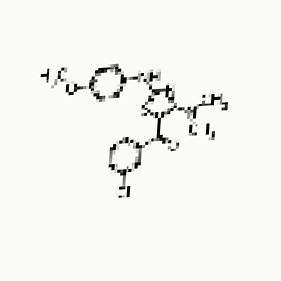 COc1ccc(Nc2nc(N(C)C)c(C(=O)c3cccc(Cl)c3)s2)cc1